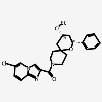 CCO[C@@H]1C[C@H](c2ccccc2)OC2(CCN(C(=O)c3cn4cc(Cl)ccc4n3)CC2)C1